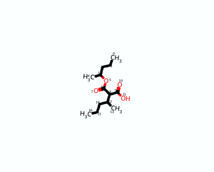 CCCC(C)OC(=O)C(C(=O)O)C(C)CCC